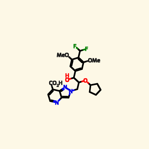 COc1cc(C(O)C(Cn2cc3nccc(C(=O)O)c3n2)OC2CCCC2)cc(OC)c1C(F)F